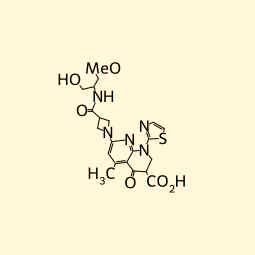 COCC(CO)NC(=O)C1CN(c2cc(C)c3c(n2)N(c2nccs2)CC(C(=O)O)C3=O)C1